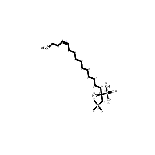 CCCCCCCCCCCC/C=C\CCCCCCCCCCC(O)(C[N+](C)(C)C)P(=O)(O)O